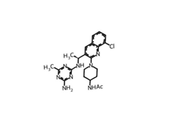 CC(=O)NC1CCN(c2nc3c(Cl)cccc3cc2[C@H](C)Nc2nc(C)nc(N)n2)CC1